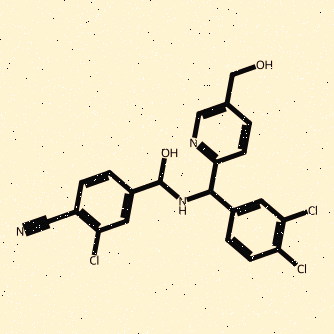 N#Cc1ccc(C(O)NC(c2ccc(Cl)c(Cl)c2)c2ccc(CO)cn2)cc1Cl